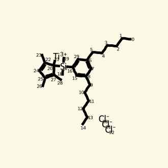 CCCCCCc1cc(CCCCCC)cc([Si](C)(C)[C]2([Ti+3])C(C)=CC(C)=C2C)c1.[Cl-].[Cl-].[Cl-]